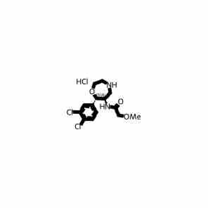 COCC(=O)N[C@@H]1CNCCO[C@H]1c1ccc(Cl)c(Cl)c1.Cl